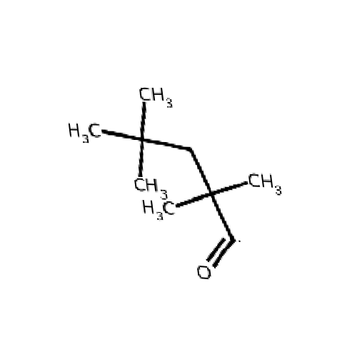 CC(C)(C)CC(C)(C)[C]=O